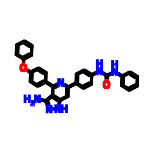 Nc1n[nH]c2cc(-c3ccc(NC(=O)Nc4ccccc4)cc3)nc(-c3ccc(Oc4ccccc4)cc3)c12